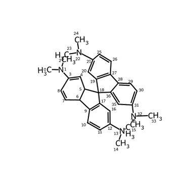 CN(C)C1=CC2C(C=C1)c1ccc(N(C)C)cc1C21c2cc(N(C)C)ccc2-c2ccc(N(C)C)cc21